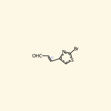 O=C/C=C/c1csc(Br)n1